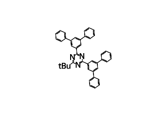 CC(C)(C)c1nc(-c2cc(-c3ccccc3)cc(-c3ccccc3)c2)nc(-c2cc(-c3ccccc3)cc(-c3ccccc3)c2)n1